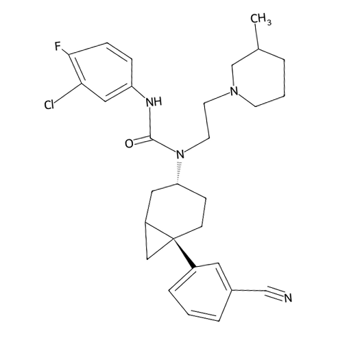 CC1CCCN(CCN(C(=O)Nc2ccc(F)c(Cl)c2)[C@@H]2CC[C@]3(c4cccc(C#N)c4)CC3C2)C1